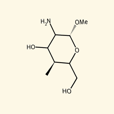 CO[C@@H]1OC(CO)[C@@H](C)C(O)C1N